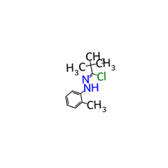 Cc1ccccc1NN=C(Cl)C(C)(C)C